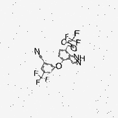 N#Cc1cc(Oc2ccc(S(=O)(=O)C(F)(F)F)c3[nH]ncc23)cc(C(F)(F)F)c1